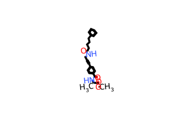 COC(=O)C(C)NC(=O)c1ccc(C#CCNC(=O)CCCCc2ccccc2)cc1